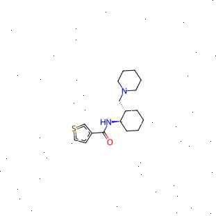 O=C(N[C@@H]1CCCC[C@H]1CN1CCCCC1)c1ccsc1